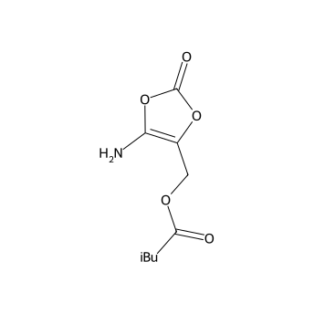 CCC(C)C(=O)OCc1oc(=O)oc1N